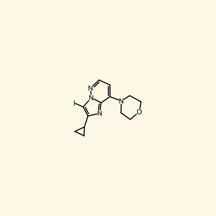 Ic1c(C2CC2)nc2c(N3CCOCC3)ccnn12